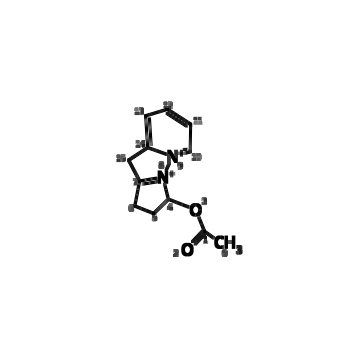 CC(=O)OC1CCC2=[N+]1[n+]1ccccc1C2